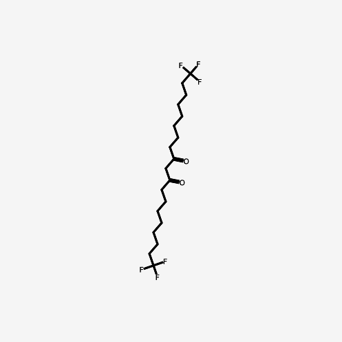 O=C(CCCCCCCC(F)(F)F)CC(=O)CCCCCCCC(F)(F)F